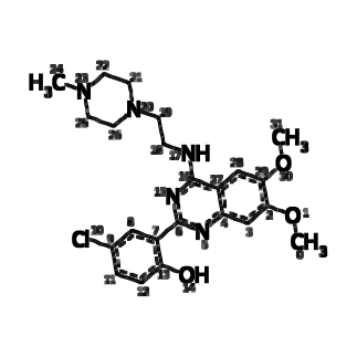 COc1cc2nc(-c3cc(Cl)ccc3O)nc(NCCN3CCN(C)CC3)c2cc1OC